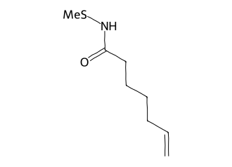 C=CCCCCC(=O)NSC